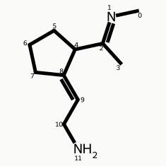 CN=C(C)C1CCCC1=CCN